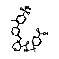 Cc1cc(S(N)(=O)=O)ccc1-c1cccc(CN2CCOCC2C(=O)N[C@@H](C)c2ccc(C(=O)O)cc2)c1